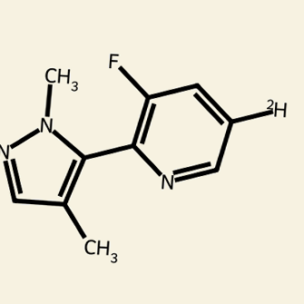 [2H]c1cnc(-c2c(C)cnn2C)c(F)c1